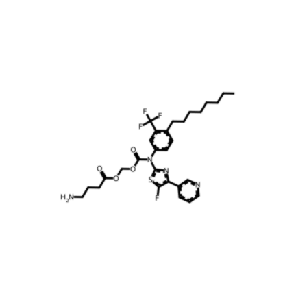 CCCCCCCCc1ccc(N(C(=O)OCOC(=O)CCCN)c2nc(-c3cccnc3)c(F)s2)cc1C(F)(F)F